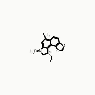 Cc1cc2c(c3c4c(ccc13)OCO4)[C@H](CCl)CN2P